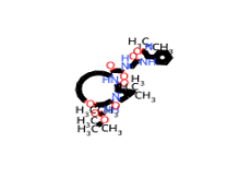 CN(C)C(=O)[C@@H](NC(=O)CNC(=O)C(=O)[C@@H]1CCCCCCCCOC(C)(C)[C@H](NC(=O)OC(C)(C)C)C(=O)N2CC3C([C@H]2C(=O)N1)C3(C)C)c1ccccc1